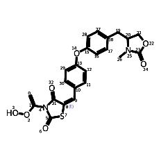 C=C(OO)N1C(=O)S/C(=C/c2ccc(Oc3ccc(CC4COC(=O)N4C)cc3)cc2)C1=O